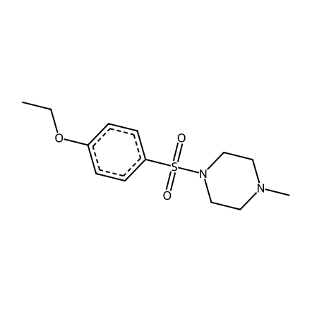 CCOc1ccc(S(=O)(=O)N2CCN(C)CC2)cc1